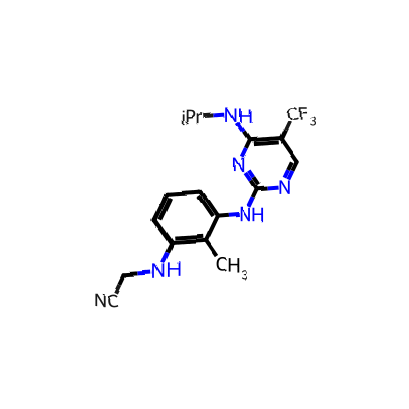 Cc1c(NCC#N)cccc1Nc1ncc(C(F)(F)F)c(NC(C)C)n1